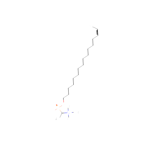 CCCC/C=C\CCCCCCCCCCCCCOP(=O)(O)C(CCC)[N+](C)(C)C